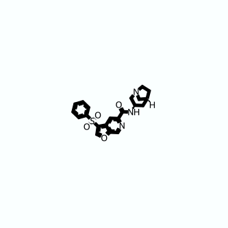 O=C(N[C@@H]1C[C@@H]2CCN(C2)C1)c1cc2c(S(=O)(=O)c3ccccc3)coc2cn1